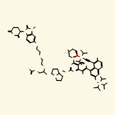 CC(C)[Si](C#Cc1c(F)ccc2cc(O[Si](C(C)C)(C(C)C)C(C)C)cc(-c3ncc4c(N5CCC[C@@](C)(O)C5)nc(OC[C@@]56CCCN5[C@H](CC(COC(N)=O)OCCOCCOc5ccc7c(c5)n(C)c(=O)n7C5CCC(=O)NC5=O)CC6)nc4c3F)c12)(C(C)C)C(C)C